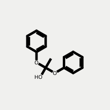 CC(O)(Oc1ccccc1)Oc1ccccc1